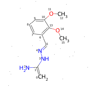 C=C(N)N/N=C/c1cccc(OC)c1OC